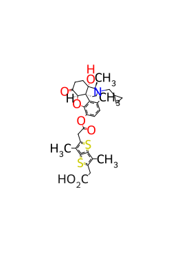 Cc1ccc(OC(=O)Cc2sc3c(C)c(CC(=O)O)sc3c2C)c2c1[C@]13CCN(CC4CC4)[C@H](C)[C@]1(O)CCC(=O)[C@@H]3O2